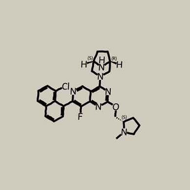 CN1CCC[C@H]1COc1nc(N2C[C@H]3CC[C@@H](C2)N3)c2cnc(-c3cccc4cccc(Cl)c34)c(F)c2n1